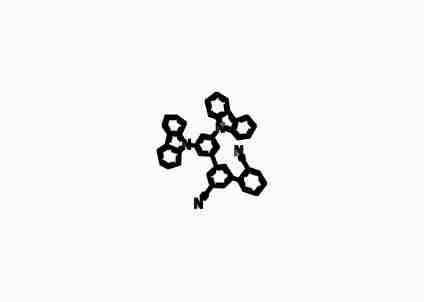 N#Cc1cc(-c2cc(-n3c4ccccc4c4ccccc43)cc(-n3c4ccccc4c4ccccc43)c2)cc(-c2ccccc2C#N)c1